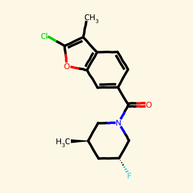 Cc1c(Cl)oc2cc(C(=O)N3C[C@H](C)C[C@@H](F)C3)ccc12